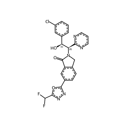 O=C1c2cc(-c3nnc(C(F)F)o3)ccc2CN1[C@H](c1ncccn1)[C@@H](O)c1cccc(Cl)c1